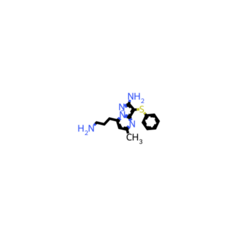 Cc1cc(CCCN)n2nc(N)c(Sc3ccccc3)c2n1